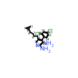 Nc1ncc(CCCCC2CC2)c(-c2ccc(Cl)cc2Cl)c1N